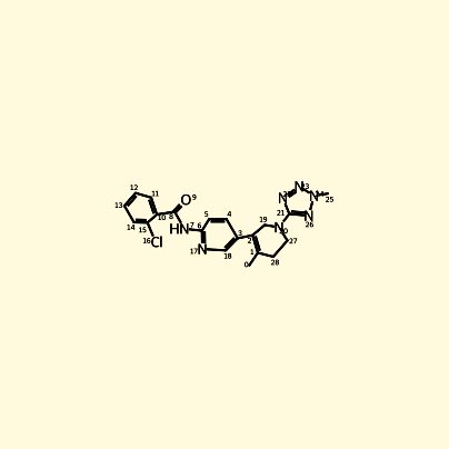 CC1=C(c2ccc(NC(=O)c3ccccc3Cl)nc2)CN(c2nnn(C)n2)CC1